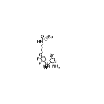 CC(C)(C)OC(=O)NCCCCCOc1ccc(-n2nnnc2-c2cc(Br)cnc2N)c(F)c1F